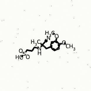 COc1ccc(CC(C)(C#N)NCCCS(=O)(=O)O)cc1OC